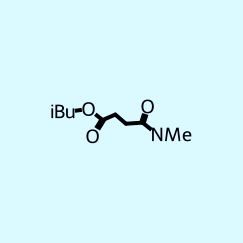 CCC(C)OC(=O)CCC(=O)NC